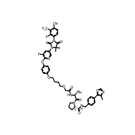 Cc1ncsc1-c1ccc(CNC(=O)[C@@H]2CCCN2C(=O)C(NC(=O)COCCCCOc2ccc(Oc3ncc(N4C(=S)N(c5ccc(C#N)c(C(F)(F)F)c5F)C(=O)C4(C)C)cc3F)cc2)C(C)(C)C)cc1